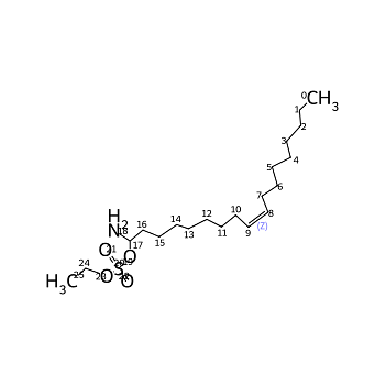 CCCCCCCC/C=C\CCCCCCCC(N)OS(=O)(=O)OCC